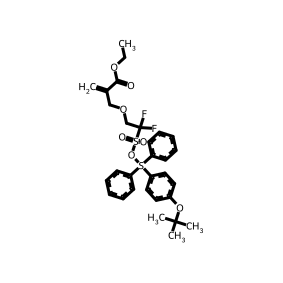 C=C(COCC(F)(F)S(=O)(=O)OS(c1ccccc1)(c1ccccc1)c1ccc(OC(C)(C)C)cc1)C(=O)OCC